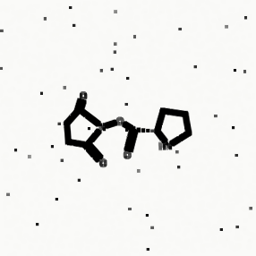 O=C(ON1C(=O)CCC1=O)[C@@H]1CCCN1